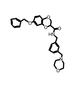 O=C(NCc1cccc(CN2CCOCC2)c1)C1COc2ccc(OCc3ccccc3)cc2O1